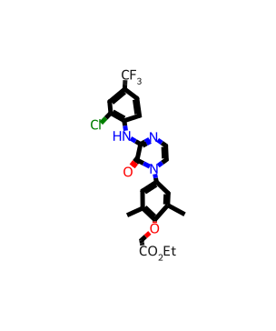 CCOC(=O)COc1c(C)cc(-n2ccnc(Nc3ccc(C(F)(F)F)cc3Cl)c2=O)cc1C